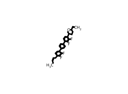 C=CC1CCC(c2ccc(-c3ccc(-c4ccc(C/C=C\CC)c(F)c4F)cc3)c(F)c2F)CO1